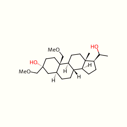 COC[C@@]1(O)CC[C@@]2(COC)[C@@H](CC[C@H]3[C@@H]4CC[C@H](C(C)O)[C@@]4(C)CC[C@@H]32)C1